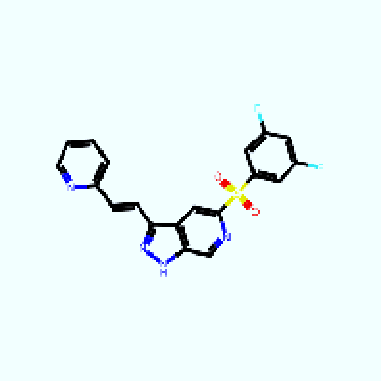 O=S(=O)(c1cc(F)cc(F)c1)c1cc2c(/C=C/c3ccccn3)n[nH]c2cn1